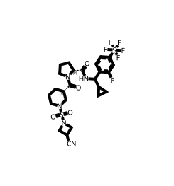 N#CC1CN(S(=O)(=O)N2CCC[C@H](C(=O)N3CCC[C@@H]3C(=O)NC(c3ccc(S(F)(F)(F)(F)F)cc3F)C3CC3)C2)C1